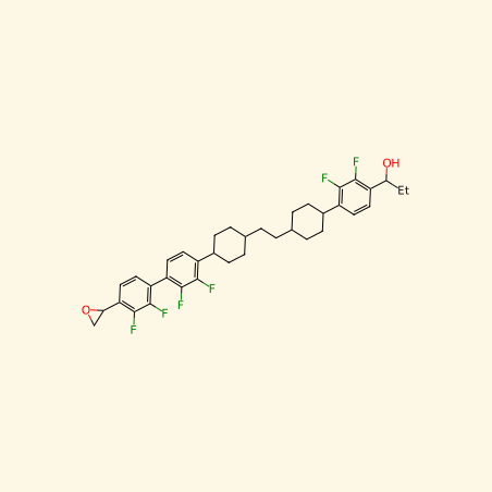 CCC(O)c1ccc(C2CCC(CCC3CCC(c4ccc(-c5ccc(C6CO6)c(F)c5F)c(F)c4F)CC3)CC2)c(F)c1F